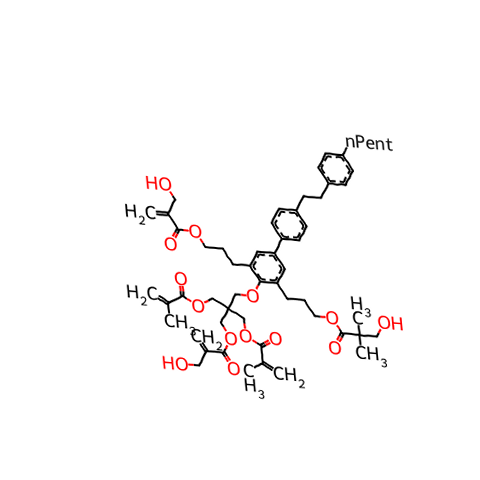 C=C(C)C(=O)OCC(COC(=O)C(=C)C)(COC(=O)C(=C)CO)COc1c(CCCOC(=O)C(=C)CO)cc(-c2ccc(CCc3ccc(CCCCC)cc3)cc2)cc1CCCOC(=O)C(C)(C)CO